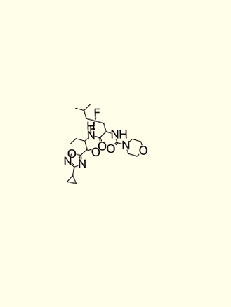 CCC(NC(=O)C(CC(F)(F)CC(C)C)NC(=O)N1CCOCC1)C(=O)c1nc(C2CC2)no1